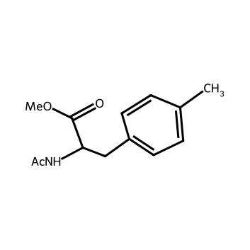 COC(=O)C(Cc1ccc(C)cc1)NC(C)=O